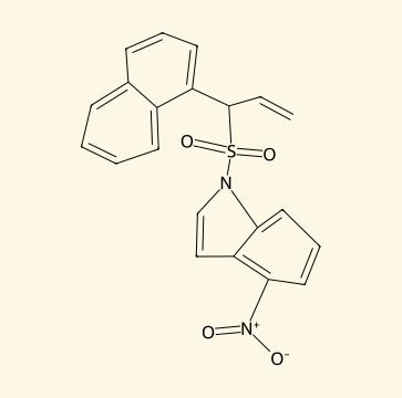 C=CC(c1cccc2ccccc12)S(=O)(=O)n1ccc2c([N+](=O)[O-])cccc21